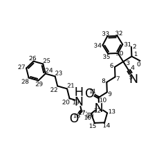 CC(C)C(C#N)(CCCCC(=O)N1CCC[C@@H]1C(=O)NCCCCc1ccccc1)c1ccccc1